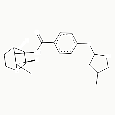 CC1CNC(Sc2ccc(C(=O)N[C@@H]3C4CCN(CC4)[C@H]3C)cc2)C1